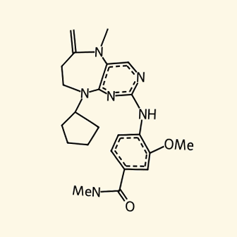 C=C1CCN(C2CCCC2)c2nc(Nc3ccc(C(=O)NC)cc3OC)ncc2N1C